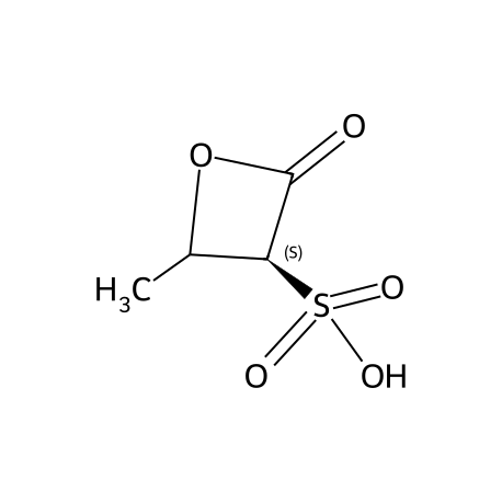 CC1OC(=O)[C@H]1S(=O)(=O)O